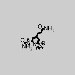 C[N+](C)(C(N)=O)c1cc(CCC(N)=O)cc(S(C)(=O)=O)n1